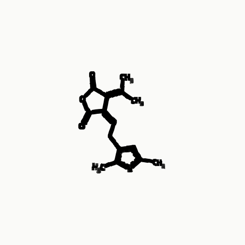 CC(C)=C1C(=O)OC(=O)C1=CCc1cc(C)sc1C